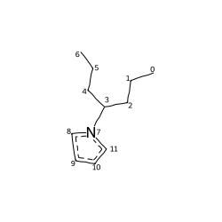 CCCC(CCC)n1cccc1